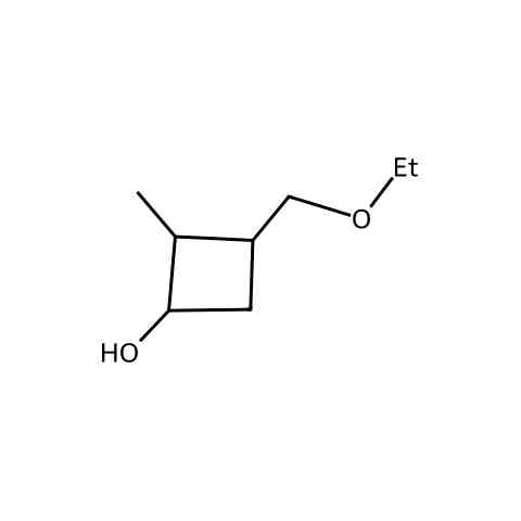 CCOCC1CC(O)C1C